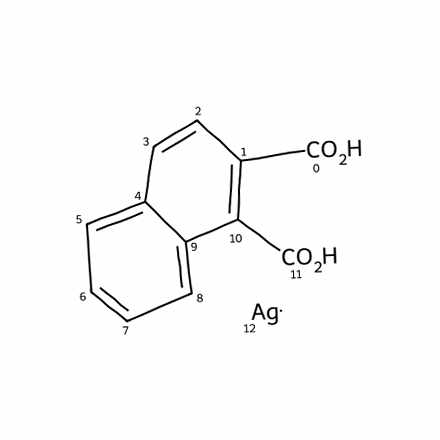 O=C(O)c1ccc2ccccc2c1C(=O)O.[Ag]